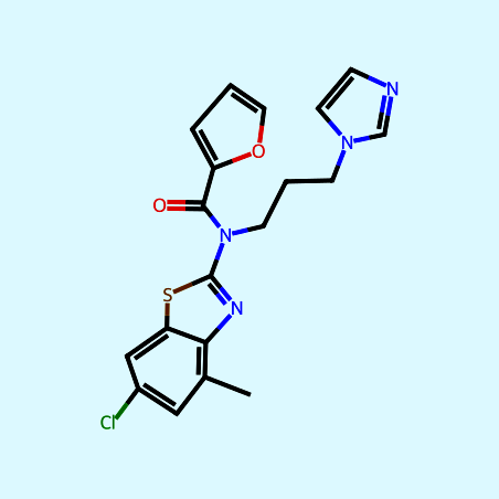 Cc1cc(Cl)cc2sc(N(CCCn3ccnc3)C(=O)c3ccco3)nc12